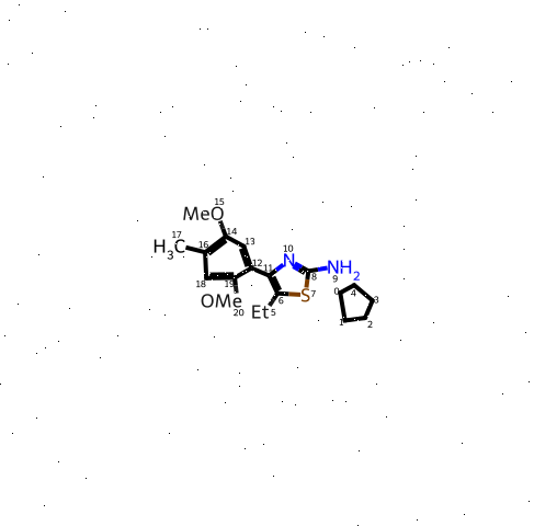 C1CCCC1.CCc1sc(N)nc1-c1cc(OC)c(C)cc1OC